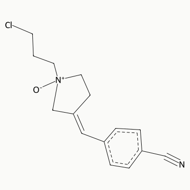 N#Cc1ccc(/C=C2\CC[N+]([O-])(CCCCl)C2)cc1